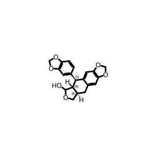 OC1OC[C@@H]2Cc3cc4c(cc3[C@H](c3ccc5c(c3)OCO5)[C@@H]12)OCO4